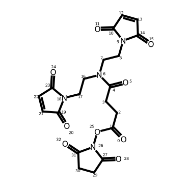 O=C(CCC(=O)N(CCN1C(=O)C=CC1=O)CCN1C(=O)C=CC1=O)ON1C(=O)CCC1=O